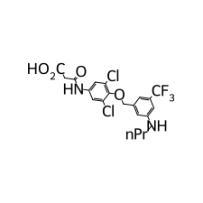 CCCNc1cc(COc2c(Cl)cc(NC(=O)CC(=O)O)cc2Cl)cc(C(F)(F)F)c1